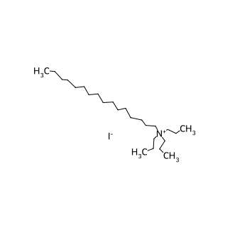 CCCCCCCCCCCCCCCC[N+](CCC)(CCC)CCC.[I-]